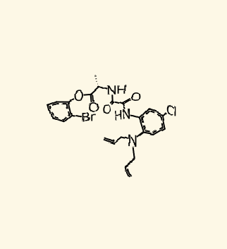 C=CCN(CC=C)c1ccc(Cl)cc1NC(=O)C(=O)N[C@@H](C)C(=O)Oc1ccccc1Br